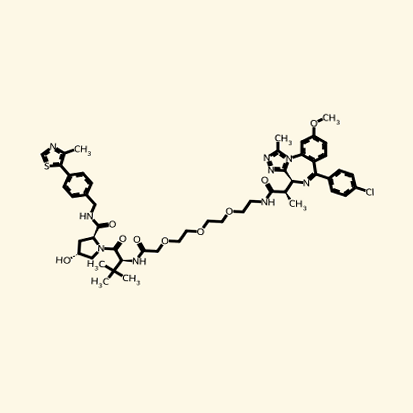 COc1ccc2c(c1)-n1c(C)nnc1[C@H]([C@@H](C)C(=O)NCCOCCOCCOCC(=O)N[C@H](C(=O)N1C[C@H](O)C[C@H]1C(=O)NCc1ccc(-c3scnc3C)cc1)C(C)(C)C)N=C2c1ccc(Cl)cc1